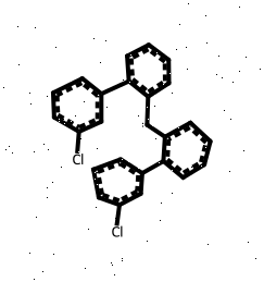 Clc1cccc(-c2ccccc2[C]c2ccccc2-c2cccc(Cl)c2)c1